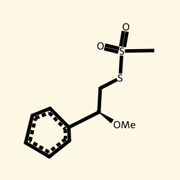 CO[C@H](CSS(C)(=O)=O)c1ccccc1